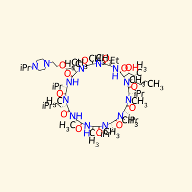 C/C=C/C[C@@H](C)[C@@H](O)[C@H]1C(=O)N[C@@H](CC)C(=O)N(C)[C@H](C)C(=O)N(C)[C@@H]([C@H](C)COCCN2CCN(C(C)C)CC2)C(=O)N[C@@H](C(C)C)C(=O)N(C)[C@@H](CCC(C)C)C(=O)N[C@@H](C)C(=O)N[C@H](C)C(=O)N(C)[C@@H](CC(C)C)C(=O)N(C)[C@@H](CC(C)C)C(=O)N(C)[C@@H](C(C)C)C(=O)N1C